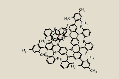 Cc1cc(C)c(-c2cc3c4c(c2)N(c2c(F)cccc2F)c2cc5c(cc2B4c2sc4cc(F)cc(F)c4c2O3)B2c3cc4c(cc3N(c3c(F)cccc3F)c3cc(-c6c(C)cc(C)cc6C)cc(c32)N5c2c(F)cccc2F)N(c2c(F)cccc2F)c2cc(-c3c(C)cc(C)cc3C)cc3c2B4c2sc4cc(F)cc(F)c4c2N3c2c(F)cccc2F)c(C)c1